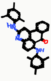 Cc1cc(C)c(Nc2cc3c4c(c(Nc5c(C)cc(C)cc5C)ccc4n2)C(=O)c2ccccc2-3)c(C)c1